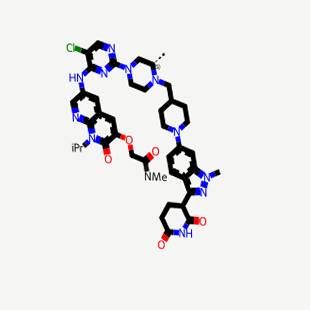 CNC(=O)COc1cc2cc(Nc3nc(N4CCN(CC5CCN(c6ccc7c(C8CCC(=O)NC8=O)nn(C)c7c6)CC5)[C@@H](C)C4)ncc3Cl)cnc2n(C(C)C)c1=O